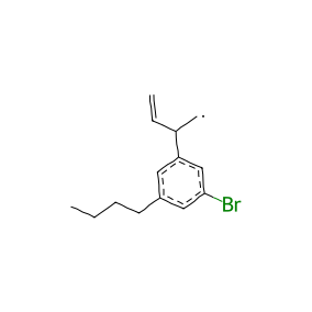 [CH2]C(C=C)c1cc(Br)cc(CCCC)c1